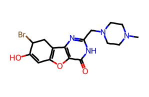 CN1CCN(Cc2nc3c4c(oc3c(=O)[nH]2)C=C(O)C(Br)C4)CC1